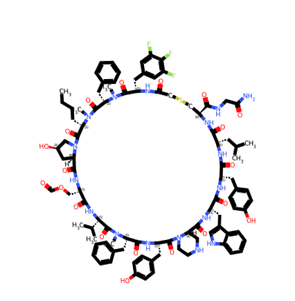 CCCC[C@H]1C(=O)N2C[C@H](O)C[C@@H]2C(=O)N[C@@H](COC=O)C(=O)N[C@@H](C(C)C)C(=O)N(C)[C@@H](Cc2ccccc2)C(=O)N[C@@H](Cc2ccc(O)cc2)C(=O)N2CCNC[C@@H]2C(=O)N[C@@H](Cc2c[nH]c3ccccc23)C(=O)N[C@@H](Cc2ccc(O)cc2)C(=O)N[C@@H](CC(C)C)C(=O)N[C@H](C(=O)NCC(N)=O)CSCC(=O)N[C@@H](Cc2cc(F)c(F)c(F)c2)C(=O)N(C)[C@@H](Cc2ccccc2)C(=O)N1C